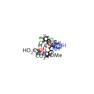 COc1ccncc1C1=CNC(N)(N2CCNC[C@@H]2C)C(OC(C)c2c(Cl)ccc(F)c2Cl)=C1.O=C(O)CC(O)(CC(=O)O)C(=O)O